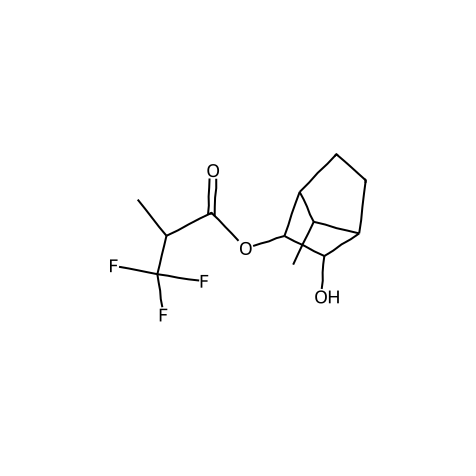 CC1C2CCC1C(OC(=O)C(C)C(F)(F)F)C2O